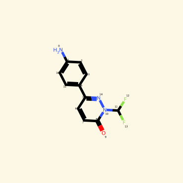 Nc1ccc(-c2ccc(=O)n(C(F)F)n2)cc1